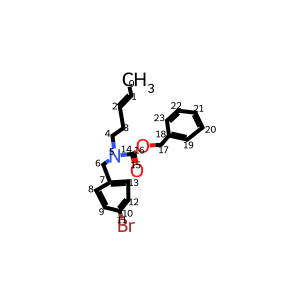 CC=CCCN(Cc1ccc(Br)cc1)C(=O)OCc1ccccc1